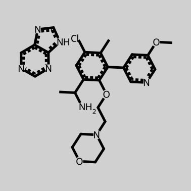 COc1cncc(-c2c(C)c(Cl)cc(C(C)N)c2OCCN2CCOCC2)c1.c1ncc2nc[nH]c2n1